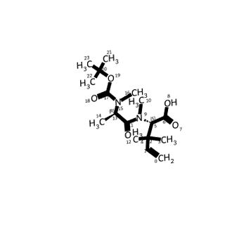 C=CC(C)(C)[C@@H](C(=O)O)N(C)C(=O)[C@@H](C)N(C)C(=O)OC(C)(C)C